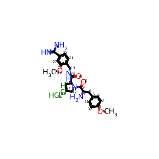 COc1ccc(C[C@H](N)C(=O)N2CCC[C@H]2C(=O)NCc2ccc(C(=N)N)cc2OC)cc1.Cl.Cl